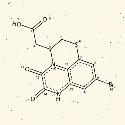 O=C(O)CC1CSc2cc(Br)cc3[nH]c(=O)c(=O)n1c23